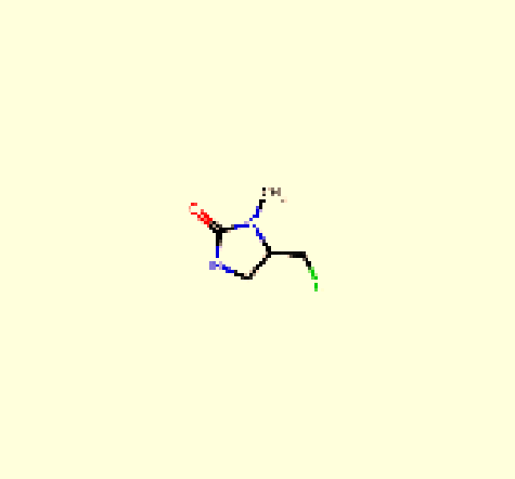 CN1C(=O)NC[C@@H]1CCl